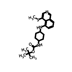 CSc1cncc2cccc(NC3CCC(NC(=O)OC(C)(C)C)CC3)c12